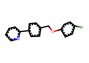 Brc1ccc(OCc2ccc(-c3ccccn3)cc2)cc1